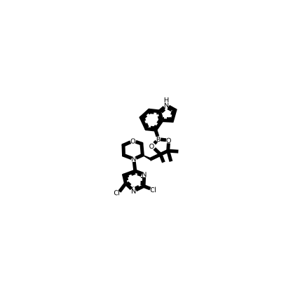 CC1(C)OB(c2cccc3[nH]ccc23)OC1(C)C[C@@H]1COCCN1c1cc(Cl)nc(Cl)n1